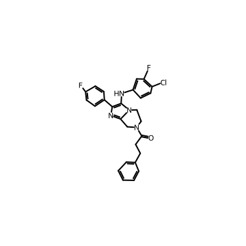 O=C(CCc1ccccc1)N1CCn2c(nc(-c3ccc(F)cc3)c2Nc2ccc(Cl)c(F)c2)C1